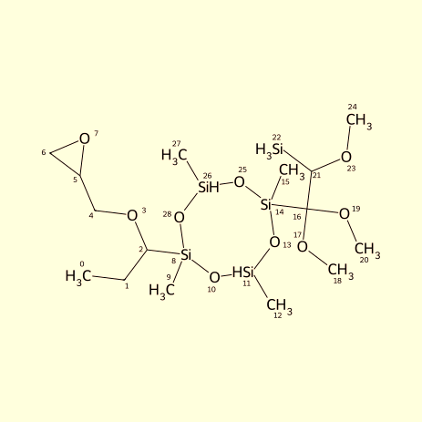 CCC(OCC1CO1)[Si]1(C)O[SiH](C)O[Si](C)(C(OC)(OC)C([SiH3])OC)O[SiH](C)O1